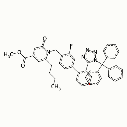 CCCCc1cc(C(=O)OC)cc(=O)n1Cc1ccc(-c2ccccc2-c2nnnn2C(c2ccccc2)(c2ccccc2)c2ccccc2)cc1F